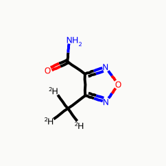 [2H]C([2H])([2H])c1nonc1C(N)=O